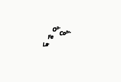 [Co+2].[Fe].[La].[O-2]